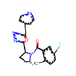 O=C(c1cc(F)ccc1C(F)(F)F)N1CCCC1c1nnc(-c2ccncc2)o1